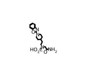 NC(=O)CN(CCC1CCN(c2nc3ccccc3o2)CC1)C(=O)O